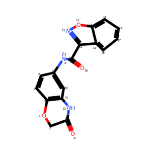 O=C1COc2ccc(NC(=O)c3noc4ccccc34)cc2N1